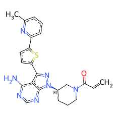 C=CC(=O)N1CCC[C@@H](n2nc(-c3ccc(-c4cccc(C)n4)s3)c3c(N)ncnc32)C1